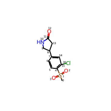 CS(=O)(=O)c1ccc(C2CNC(=O)C2)cc1Cl